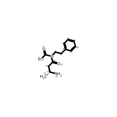 CCC(=O)N(CCc1ccccc1)C(=O)C[C@@H](C)N